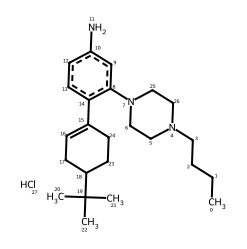 CCCCN1CCN(c2cc(N)ccc2C2=CCC(C(C)(C)C)CC2)CC1.Cl